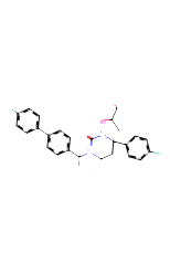 C[C@@H](c1ccc(-c2ccc(F)cc2)cc1)N1CC[C@@](CC(O)CO)(c2ccc(F)cc2)NC1=O